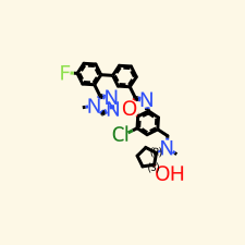 CN(Cc1cc(Cl)c2oc(-c3cccc(-c4ccc(F)cc4-c4nncn4C)c3)nc2c1)[C@@H]1CCC[C@@H]1O